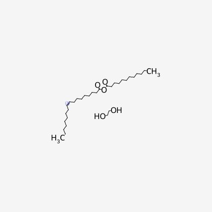 CCCCCCCC/C=C\CCCCCCCC(=O)OC(=O)CCCCCCCCCCC.OCCO